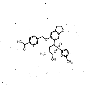 Cc1ccc(S(=O)(=O)N(C[C@@H](C)CO)c2cc3c(cc2OCc2ccc(C(=O)O)cc2)CCO3)o1